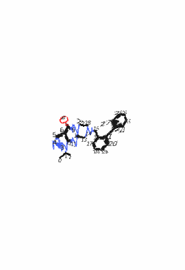 CC(C)n1ncc2c(=O)n3c(nc21)CN(Cc1ccccc1-c1ccccc1)CC3